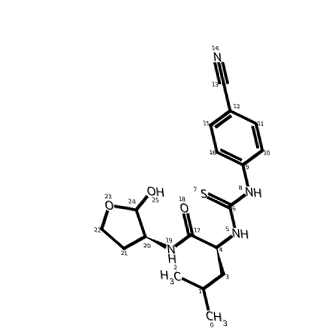 CC(C)C[C@H](NC(=S)Nc1ccc(C#N)cc1)C(=O)N[C@H]1CCOC1O